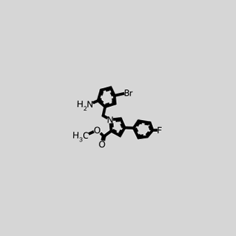 COC(=O)c1cc(-c2ccc(F)cc2)cn1Cc1cc(Br)ccc1N